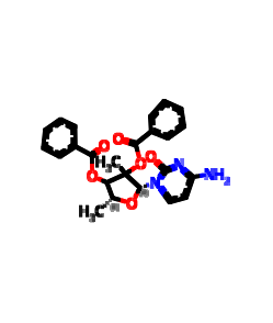 C[C@H]1O[C@@H](n2ccc(N)nc2=O)C(C)(OC(=O)c2ccccc2)C1OC(=O)c1ccccc1